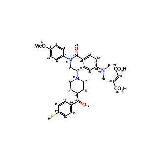 COc1ccc(N(CCN2CCC(C(=O)c3ccc(F)cc3)CC2)C(=O)c2ccc(N(C)C)cc2)cc1.O=C(O)C=CC(=O)O